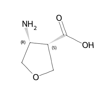 N[C@H]1COC[C@H]1C(=O)O